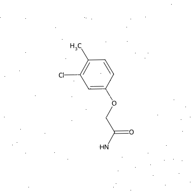 Cc1ccc(OCC([NH])=O)cc1Cl